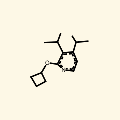 CC(C)c1ccnc(OC2CCC2)c1C(C)C